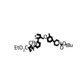 CCOC(=O)c1cnn(-c2cccc(-c3sccc3COc3ccc(C4CCN(C(=O)OC(C)(C)C)CC4)cc3C)n2)c1C(F)(F)F